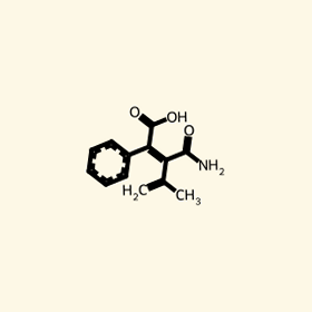 C=C(C)/C(C(N)=O)=C(/C(=O)O)c1ccccc1